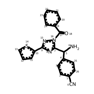 N#Cc1ccc(C(N)c2nc(-c3cccs3)nn2C(=O)c2ccccc2)cc1